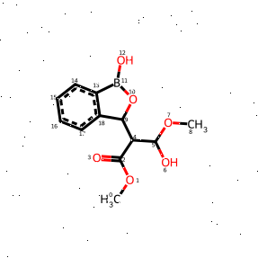 COC(=O)C(C(O)OC)C1OB(O)c2ccccc21